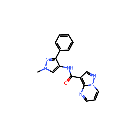 Cn1cc(NC(=O)c2cnn3cccnc23)c(-c2ccccc2)n1